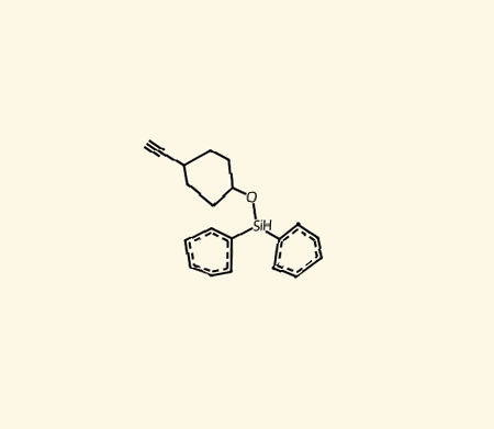 C#CC1CCC(O[SiH](c2ccccc2)c2ccccc2)CC1